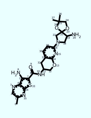 Cc1cnc2c(N)c(C(=O)NC3COc4nc(N5CC(N)C6(C5)OCC(C)(C)O6)ccc4C3)sc2n1